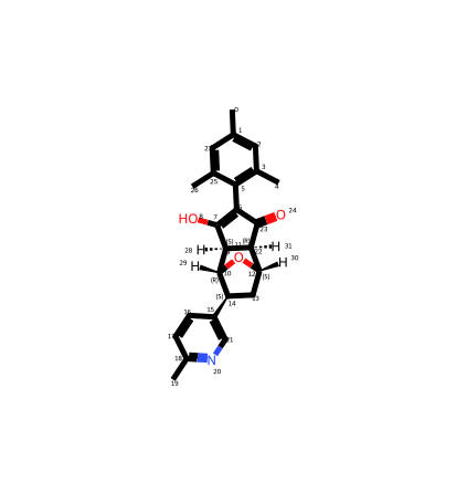 Cc1cc(C)c(C2=C(O)[C@@H]3[C@@H]4O[C@@H](C[C@H]4c4ccc(C)nc4)[C@@H]3C2=O)c(C)c1